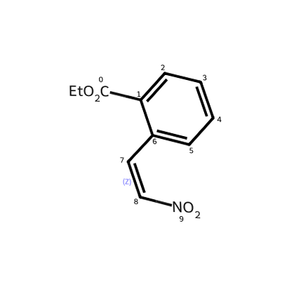 CCOC(=O)c1ccccc1/C=C\[N+](=O)[O-]